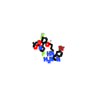 C[C@H](CCCNc1c(N)cnc2ccc(Br)cc12)Oc1ccc(F)cc1[C@H]1C[C@H](F)CN1C(=O)OC(C)(C)C